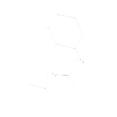 CC(O)NC(C)NC1CCCCC1